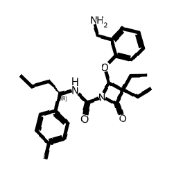 CCC[C@@H](NC(=O)N1C(=O)C(CC)(CC)C1Oc1ccccc1CN)c1ccc(C)cc1